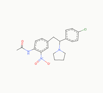 CC(=O)Nc1ccc(CC(c2ccc(Cl)cc2)N2CCCC2)cc1[N+](=O)[O-]